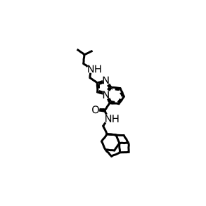 CC(C)CNCc1cn2c(C(=O)NCC34CC5CC6CC(C3)C6(C5)C4)cccc2n1